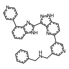 c1ccc(CNCc2cncc(-c3ccc4[nH]nc(-c5nc6c(-c7ccncc7)cccc6[nH]5)c4n3)c2)cc1